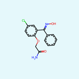 NC(=O)COc1ccc(Cl)cc1C(=NO)c1ccccc1